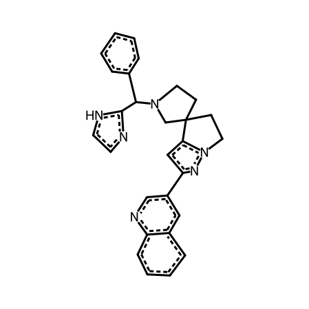 c1ccc(C(c2ncc[nH]2)N2CCC3(CCn4nc(-c5cnc6ccccc6c5)cc43)C2)cc1